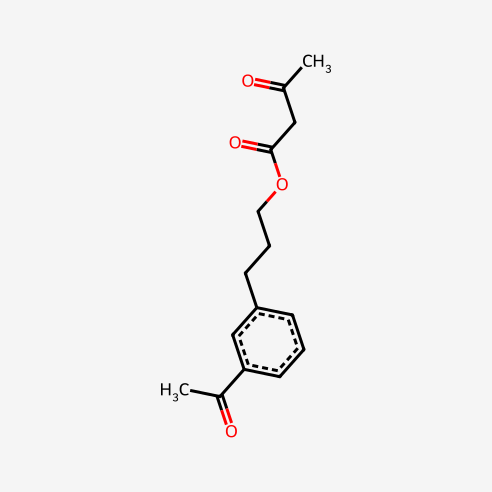 CC(=O)CC(=O)OCCCc1cccc(C(C)=O)c1